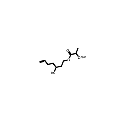 C=CCCC(CCOC(=O)C(C)OC)C(C)=O